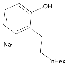 CCCCCCCCc1ccccc1O.[Na]